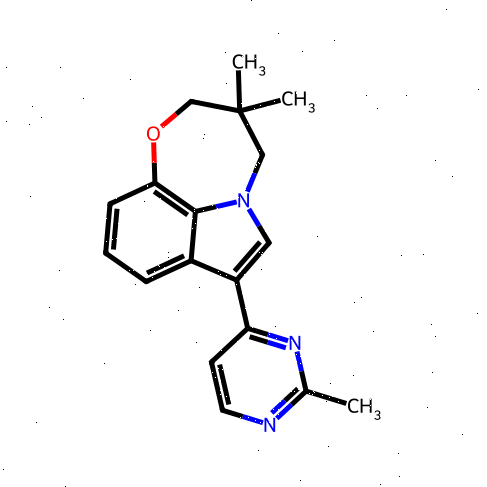 Cc1nccc(-c2cn3c4c(cccc24)OCC(C)(C)C3)n1